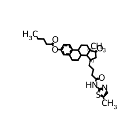 CCCCC(=O)Oc1ccc2c(c1)CCC1C2CC[C@]2(C)C(=O)C[C@@H](CCCC(=O)Nc3ncc(C)s3)C12